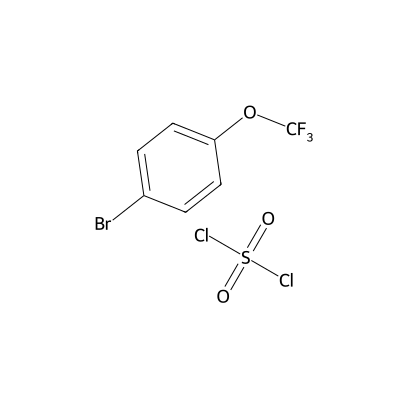 FC(F)(F)Oc1ccc(Br)cc1.O=S(=O)(Cl)Cl